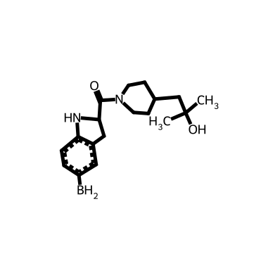 Bc1ccc2c(c1)CC(C(=O)N1CCC(CC(C)(C)O)CC1)N2